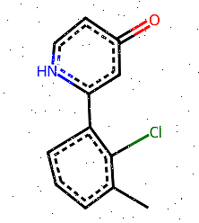 Cc1cccc(-c2cc(=O)cc[nH]2)c1Cl